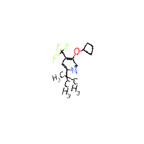 CC(C)(C)c1cc(C(F)(F)F)c(OC2CCC2)cn1